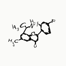 Cc1cc([C@@H](C)N)c2oc(-c3ccc(F)cc3F)cc(=O)c2c1